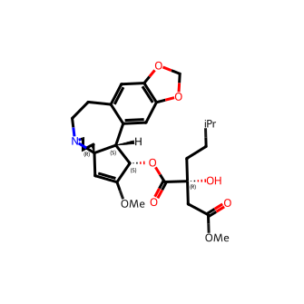 COC(=O)C[C@](O)(CCC(C)C)C(=O)O[C@@H]1C(OC)=C[C@]23CCCN2CCc2cc4c(cc2[C@H]13)OCO4